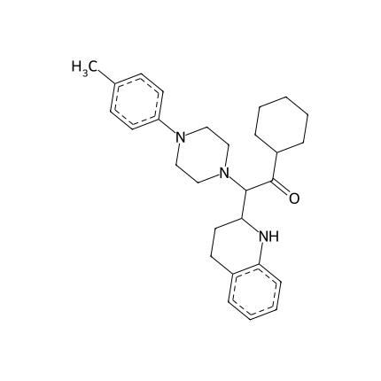 Cc1ccc(N2CCN(C(C(=O)C3CCCCC3)C3CCc4ccccc4N3)CC2)cc1